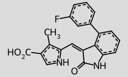 Cc1c(C(=O)O)c[nH]c1C=C1C(=O)Nc2cccc(-c3cccc(F)c3)c21